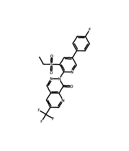 CCS(=O)(=O)c1cc(-c2ccc(F)cc2)cnc1-n1ncc2cc(C(F)(F)F)cnc2c1=O